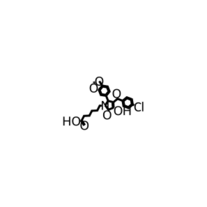 O=C(O)CCCCCN1C(=O)C(O)=C(C(=O)c2ccc(Cl)cc2)C1c1ccc2c(c1)OCO2